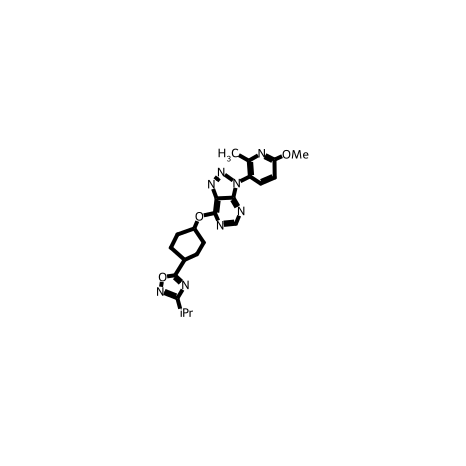 COc1ccc(-n2nnc3c(OC4CCC(c5nc(C(C)C)no5)CC4)ncnc32)c(C)n1